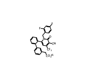 N#Cc1c(C(F)(F)F)cc(-c2ccccc2-c2cccc(CC(=O)O)c2)n(Cc2ccc(F)cc2F)c1=O